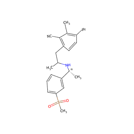 Cc1c(C(C)C)ccc(CC(C)N[C@H](C)c2cccc(S(C)(=O)=O)c2)c1C#N